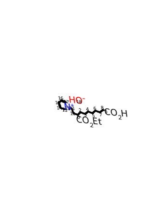 CCOC(=O)C(CCCCCCCC(=O)O)CC[n+]1ccccc1.[OH-]